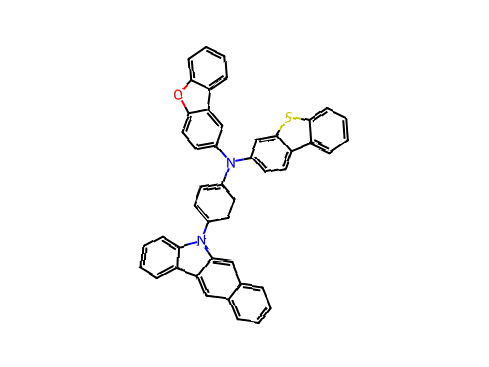 C1=C(N(c2ccc3c(c2)sc2ccccc23)c2ccc3oc4ccccc4c3c2)CCC(n2c3ccccc3c3cc4ccccc4cc32)=C1